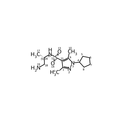 Cc1nn(C2CCCC2)c(C)c1S(=O)(=O)N[C@@H](C)CN